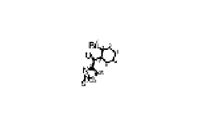 CCC(C)C1CCCCC1C(=O)c1cnn(C)n1